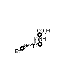 CCc1ccc(OCCCCC(=O)Nc2ccccc2C(=O)Nc2ccc(C(=O)O)cc2)cc1